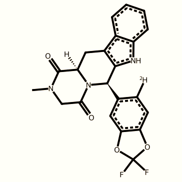 [2H]c1cc2c(cc1[C@@H]1c3[nH]c4ccccc4c3C[C@@H]3C(=O)N(C)CC(=O)N13)OC(F)(F)O2